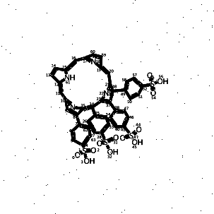 O=S(=O)(O)c1ccc(C2=Cc3cc4ccc(cc5nc(cc6[nH]c(c(-c7ccc(S(=O)(=O)O)cc7)c2n3)c(-c2ccc(S(=O)(=O)O)cc2)c6-c2ccc(S(=O)(=O)O)cc2)C=C5)[nH]4)cc1